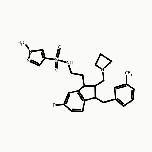 Cn1cc(S(=O)(=O)NCCC2c3cc(F)ccc3C(Cc3cccc(C(F)(F)F)c3)C2CN2CCC2)cn1